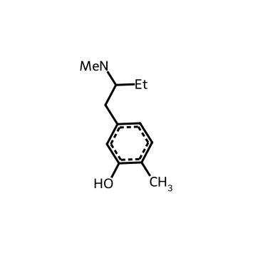 [CH2-][NH2+]C(CC)Cc1ccc(C)c(O)c1